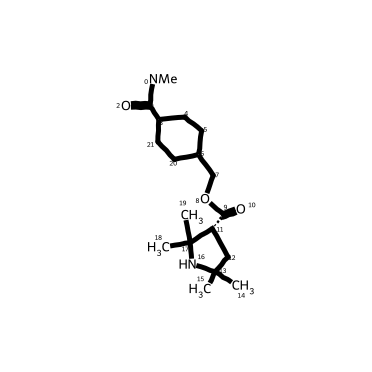 CNC(=O)C1CCC(COC(=O)[C@@H]2CC(C)(C)NC2(C)C)CC1